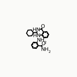 NC(=O)c1ccccc1N.O=C1NC(C2CCCCC2)Nc2ccccc21